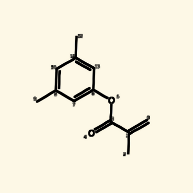 C=C(C)C(=O)Oc1cc(C)cc(C)c1